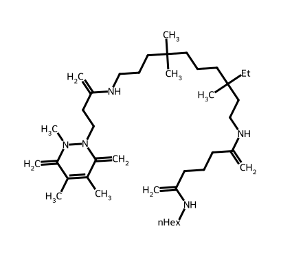 C=C(CCCC(=C)NCCC(C)(CC)CCCC(C)(C)CCCNC(=C)CCN1C(=C)C(C)=C(C)C(=C)N1C)NCCCCCC